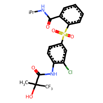 CC(C)NC(=O)c1ccccc1S(=O)(=O)c1ccc(NC(=O)C(C)(O)C(F)(F)F)c(Cl)c1